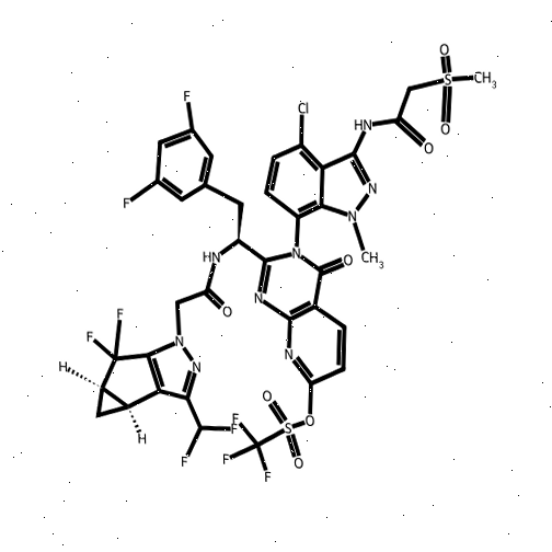 Cn1nc(NC(=O)CS(C)(=O)=O)c2c(Cl)ccc(-n3c([C@H](Cc4cc(F)cc(F)c4)NC(=O)Cn4nc(C(F)F)c5c4C(F)(F)[C@@H]4C[C@H]54)nc4nc(OS(=O)(=O)C(F)(F)F)ccc4c3=O)c21